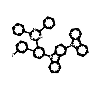 Fc1cccc(-c2ccc(-n3c4ccccc4c4cc(-n5c6ccccc6c6ccccc65)ccc43)cc2-c2nc(-c3ccccc3)nc(-c3ccccc3)n2)c1